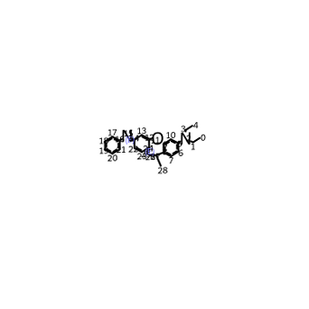 CCN(CC)c1ccc2c(c1)OC1=CC(=N/c3ccccc3)/C=CC/1=C\CC2C